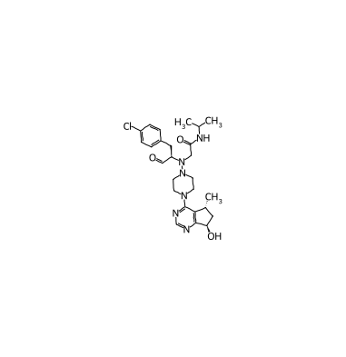 CC(C)NC(=O)CN([C@@H](C=O)Cc1ccc(Cl)cc1)N1CCN(c2ncnc3c2[C@H](C)C[C@H]3O)CC1